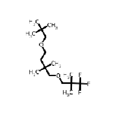 CC(C)(C)COCCC(C)(C)COCC(C)(C)C(F)(F)F